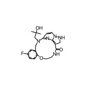 CC(C)(O)CN1Cc2cc(F)ccc2OCCNC(=O)C2=C3N=C1C=CN3NC2